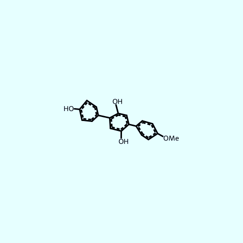 COc1ccc(-c2cc(O)c(-c3ccc(O)cc3)cc2O)cc1